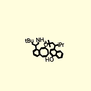 CC(C)C(CC(C)(C)O/C1=C/c2c(cccc2C(CN)CC(C)(C)C)/C=C\CC1)c1ccc(O)c2ccccc12